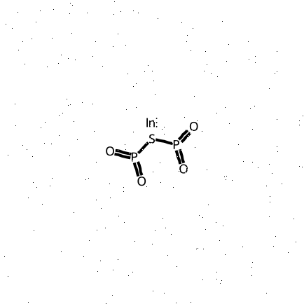 O=P(=O)SP(=O)=O.[In]